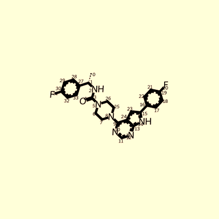 C[C@H](NC(=O)N1CCN(c2ncnc3[nH]c(-c4ccc(F)cc4)cc23)CC1)c1ccc(F)cc1